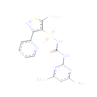 CCOC(=O)c1snc(-c2ccccn2)c1S(=O)(=O)NC(=O)Nc1nc(OC)cc(OC)n1